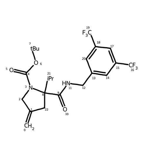 C=C1CN(C(=O)OC(C)(C)C)C(C(=O)NCc2cc(C(F)(F)F)cc(C(F)(F)F)c2)(C(C)C)C1